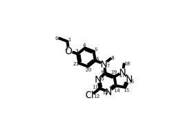 CCOc1ccc(N(C)c2nc(Cl)nc3cnn(C)c23)cc1